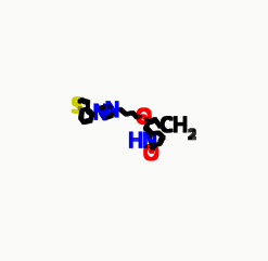 C=C/C=C(\C=C1/CC=CC(=O)N1)OCCCCN1CCN(c2cccc3sccc23)CC1